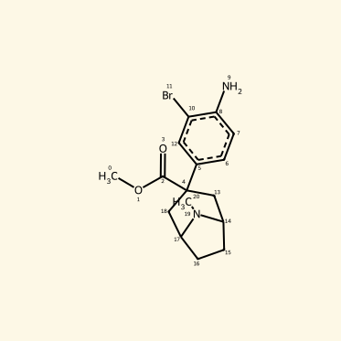 COC(=O)C1(c2ccc(N)c(Br)c2)CC2CCC(C1)N2C